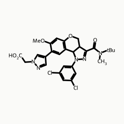 COc1cc2c(cc1-c1cnn(CC(=O)O)c1)C1C(CO2)C(C(=O)N(C)C(C)(C)C)=NN1c1cc(Cl)cc(Cl)c1